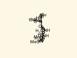 CNC(=NC1CC=NN(CCOC)[C@@H]1C)C(=N)Nc1ccc(C(=N)N2CCN(C(=O)CCCN(CCCNC(=O)OC(C)(C)C)CCCNC(=O)OC(C)(C)C)CC2)c(C)c1